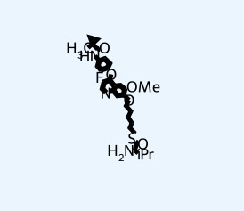 COc1cc2c(Oc3ccc(NC(=O)C4(C)CC4)cc3F)ccnc2cc1OCCCCCCSC(=O)C(N)C(C)C